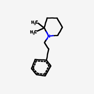 CC1(C)CCCCN1CCc1ccccc1